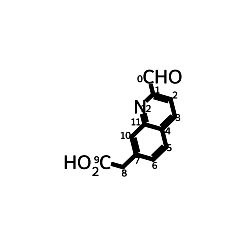 O=Cc1ccc2ccc(CC(=O)O)cc2n1